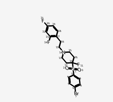 O=S(=O)(c1ccc(Br)cc1)C1(F)CCN(CCc2ccc(F)cc2F)CC1